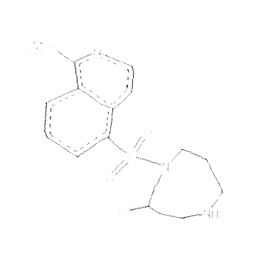 COc1nccc2c(S(=O)(=O)N3CCCNCC3C(C)C)cccc12